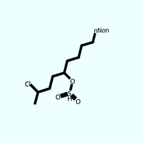 CCCCCCCCCCCCCC(CCC(C)Cl)O[SH](=O)=O